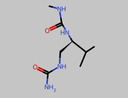 CNC(=O)N[C@H](CNC(N)=O)C(C)C